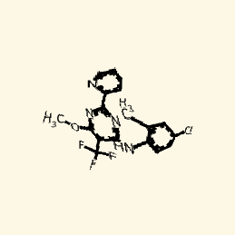 COc1nc(-c2ccccn2)nc(Nc2ccc(Cl)cc2C)c1C(F)(F)F